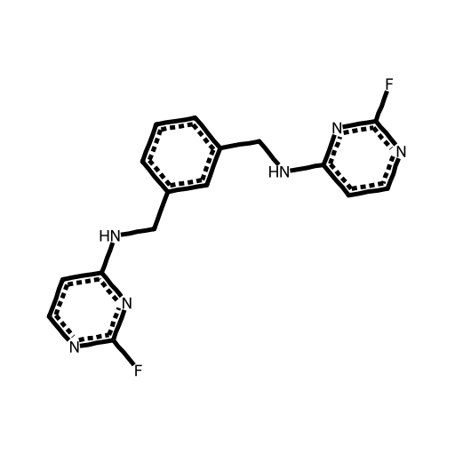 Fc1nccc(NCc2cccc(CNc3ccnc(F)n3)c2)n1